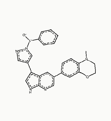 CN1CCOc2cc(-c3cnc4[nH]cc(-c5cnn([S+]([O-])c6ccccc6)c5)c4c3)ccc21